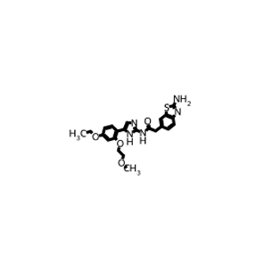 CCOc1ccc(-c2cnc(NC(=O)Cc3ccc4nc(N)sc4c3)[nH]2)c(OCCOC)c1